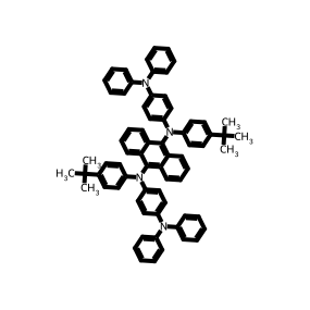 CC(C)(C)c1ccc(N(c2ccc(N(c3ccccc3)c3ccccc3)cc2)c2c3ccccc3c(N(c3ccc(N(c4ccccc4)c4ccccc4)cc3)c3ccc(C(C)(C)C)cc3)c3ccccc23)cc1